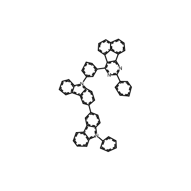 c1ccc(-c2nc(-c3cccc(-n4c5ccccc5c5cc(-c6ccc7c(c6)c6ccccc6n7-c6ccccc6)ccc54)c3)c3c(n2)-c2cccc4cccc-3c24)cc1